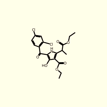 CCOC(=O)c1c(C(C)C(=O)OCC)[nH]c(C(=O)c2ccc(Cl)cc2Cl)c1O